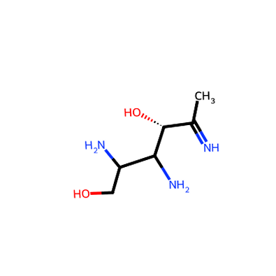 CC(=N)[C@@H](O)C(N)C(N)CO